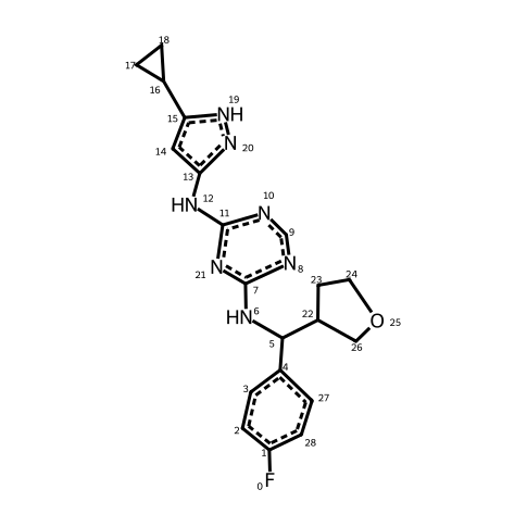 Fc1ccc(C(Nc2ncnc(Nc3cc(C4CC4)[nH]n3)n2)C2CCOC2)cc1